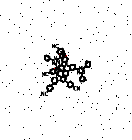 N#Cc1ccc(-c2ccc3c(c2)c2cc(-c4ccc(C#N)cc4)ccc2n3-c2ccc(-c3nc(-c4ccccc4)nc(-c4ccccc4)n3)cc2-c2cccc(-c3cc(-c4nc(-c5ccccc5)nc(-c5ccccc5)n4)ccc3-n3c4ccc(-c5ccc(C#N)cc5)cc4c4cc(-c5ccc(C#N)cc5)ccc43)c2)cc1